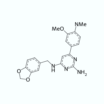 CNc1ccc(-c2cc(NCc3ccc4c(c3)OCO4)nc(N)n2)cc1OC